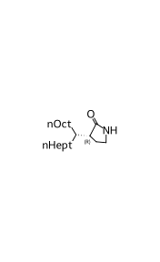 CCCCCCCCC(CCCCCCC)[C@H]1CCNC1=O